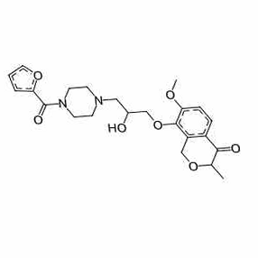 COc1ccc2c(c1OCC(O)CN1CCN(C(=O)c3ccco3)CC1)COC(C)C2=O